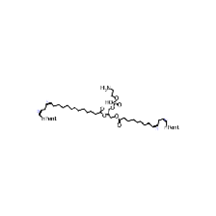 CCCCC/C=C\C/C=C\CCCCCCCCCCCC(=O)O[C@H](COC(=O)CCCCCCC/C=C\C/C=C\CCCCC)COP(=O)(O)OCCN